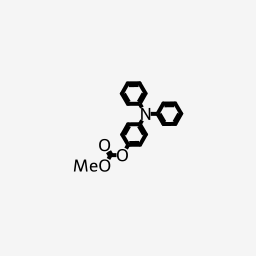 COC(=O)Oc1ccc(N(c2ccccc2)c2ccccc2)cc1